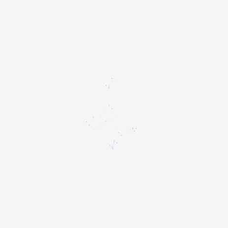 COCC(C)(N=[N+]=[N-])c1cnc(OC2CN(C(C)=O)C2)c2cnc(Cl)cc12